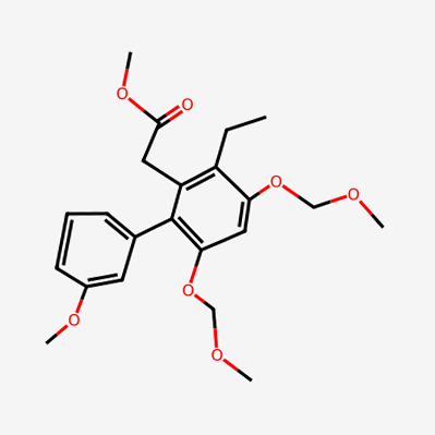 CCc1c(OCOC)cc(OCOC)c(-c2cccc(OC)c2)c1CC(=O)OC